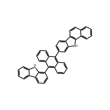 c1ccc2c(c1)ccc1c3ccc(-c4c5ccccc5c(-c5cccc6c5[nH]c5ccccc56)c5ccccc45)cc3[nH]c21